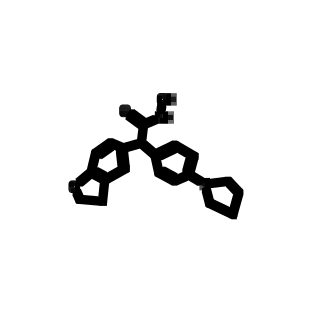 O=C(NO)C(c1ccc(N2CCCC2)cc1)c1ccc2c(c1)CCO2